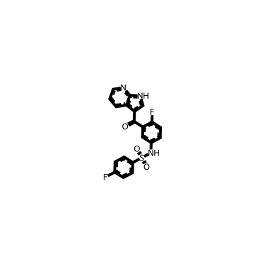 O=C(c1cc(NS(=O)(=O)c2ccc(F)cc2)ccc1F)c1c[nH]c2ncccc12